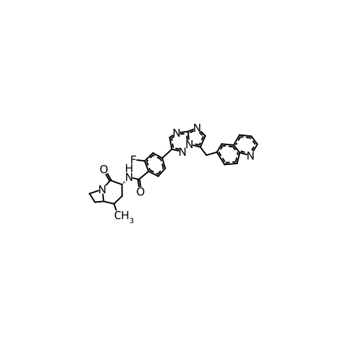 CC1C[C@@H](NC(=O)c2ccc(-c3cnc4ncc(Cc5ccc6ncccc6c5)n4n3)cc2F)C(=O)N2CCC12